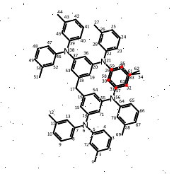 Cc1cccc(N(c2cccc(C)c2)c2cc(Cc3cc(N(c4cccc(C)c4)c4cccc(C)c4)cc(N(c4cccc(C)c4)c4cccc(C)c4)c3)cc(N(c3cccc(C)c3)c3cccc(C)c3)c2)c1